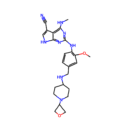 CNc1nc(Nc2ccc(CNC3CCN(C4COC4)CC3)cc2OC)nc2[nH]cc(C#N)c12